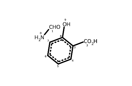 NC=O.O=C(O)c1ccccc1O